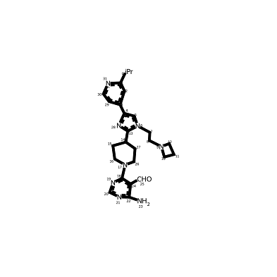 CC(C)c1cc(-c2cn(CCN3CCC3)c(C3CCN(c4ncnc(N)c4C=O)CC3)n2)ccn1